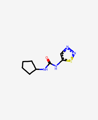 O=C(Nc1cnns1)NC1CCCC1